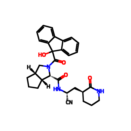 N#C[C@@H](C[C@@H]1CCCNC1=O)NC(=O)[C@@H]1[C@@H]2CCC[C@@H]2CN1C(=O)C1(O)c2ccccc2-c2ccccc21